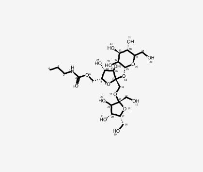 CCCNC(=O)OC[C@H]1O[C@@](CO[C@]2(CO)O[C@H](CO)[C@H](O)C2O)(O[C@H]2OC(CO)[C@@H](O)[C@H](O)C2O)C(O)[C@H]1O